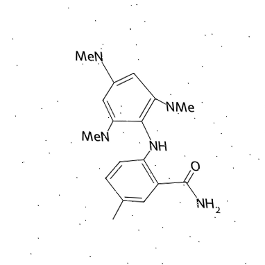 CNc1cc(NC)c(Nc2ccc(C)cc2C(N)=O)c(NC)c1